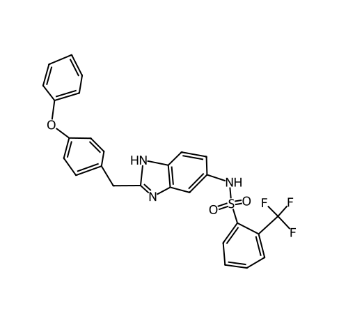 O=S(=O)(Nc1ccc2[nH]c(Cc3ccc(Oc4ccccc4)cc3)nc2c1)c1ccccc1C(F)(F)F